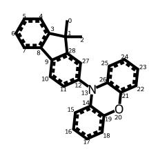 CC1(C)c2ccccc2-c2ccc(N3c4ccccc4Oc4ccccc43)cc21